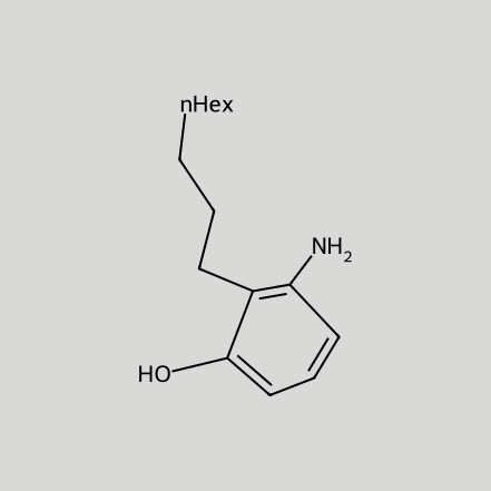 CCCCCCCCCc1c(N)cccc1O